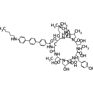 CCCCCNc1ccc(-c2ccc(-c3ccc(C(=O)N[C@H]4C[C@@H](O)[C@@H](OCC[N+](C)(C)C)NC(=O)[C@@H]5[C@@H](O)[C@@H](C)CN5C(=O)[C@H]([C@@H](C)O)NC(=O)[C@H]([C@H](O)[C@@H](O)c5ccc(O)cc5)NC(=O)[C@@H]5C[C@@H](O)CN5C(=O)[C@H]([C@@H](C)O)NC4=O)cc3)cc2)cc1